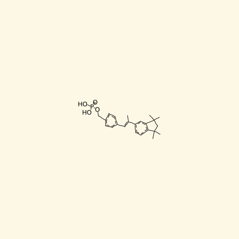 CC(=Cc1ccc(COP(=O)(O)O)cc1)c1ccc2c(c1)C(C)(C)CC2(C)C